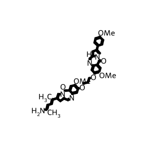 COc1ccc(C2=CN3C(=O)c4cc(OC)c(OCCCOc5cc6c(cc5OC)C(=O)N5C=C(/C(C)=C/C=C(\C)N)CC5C=N6)cc4N=C[C@@H]3C2)cc1